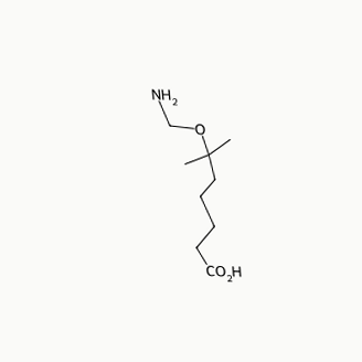 CC(C)(CCCCC(=O)O)OCN